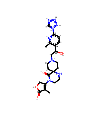 CC1=C(N2CCNC3(CCN(CC(O)c4ccc(-n5cnnn5)nc4C)CC3)C2=O)COC1=O